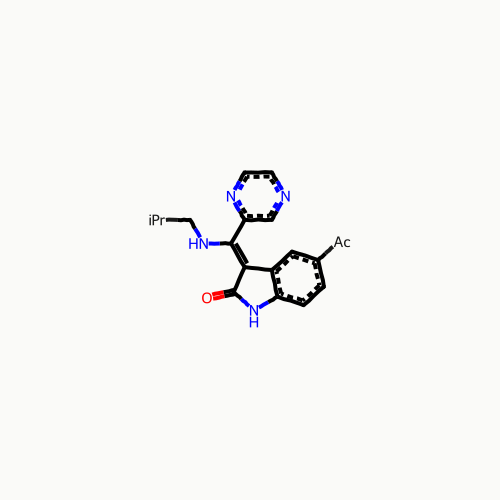 CC(=O)c1ccc2c(c1)/C(=C(/NCC(C)C)c1cnccn1)C(=O)N2